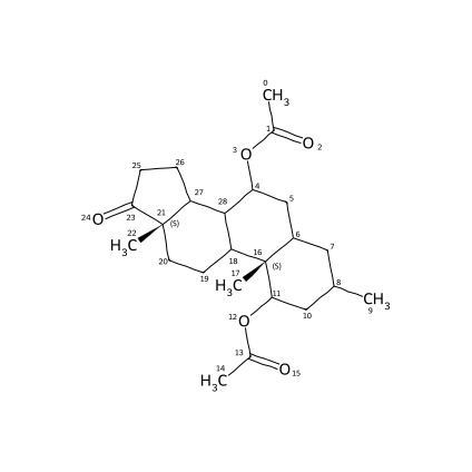 CC(=O)OC1CC2CC(C)CC(OC(C)=O)[C@]2(C)C2CC[C@]3(C)C(=O)CCC3C12